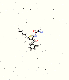 CCCCCCc1cc(C(=O)c2ccccc2C)c(NC(=O)C(C)N)s1